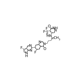 C[C@@H](CCCn1cnc2cc(-c3ncc4c(F)c[nH]c4n3)c(F)cc2c1=O)Nc1cn[nH]c(=O)c1C(F)(F)F